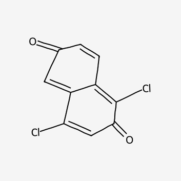 O=C1C=CC2=C(Cl)C(=O)C=C(Cl)C2=C1